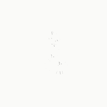 CC(C)(C)OC(=O)N1CCN(c2cccc(O)c2[N+](=O)[O-])CC1